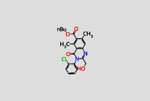 CCCCOC(=O)c1c(C)cc2nc(CO)n(-c3ccccc3Cl)c(=O)c2c1C